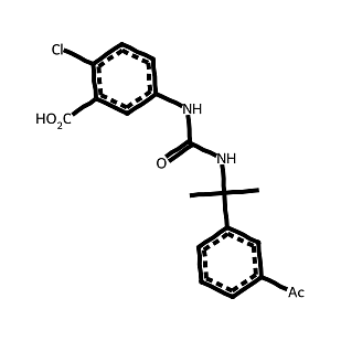 CC(=O)c1cccc(C(C)(C)NC(=O)Nc2ccc(Cl)c(C(=O)O)c2)c1